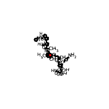 Cc1c(-c2ccc(-c3ccc4c(c3)N(C(=O)Nc3nc5ccccc5s3)CCC4)nc2C(=O)O)cnn1CC12CC3(C)CC(C)(C1)CC(OCCN(C)C(=O)OCc1ccc(O[C@@H]4O[C@H](C(=O)O)[C@@H](O)[C@H](O)[C@H]4O)cc1OCCOCCN)(C3)C2